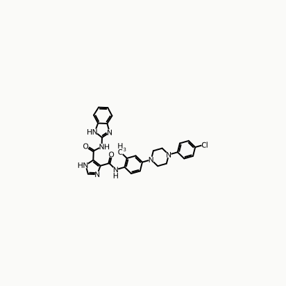 Cc1cc(N2CCN(c3ccc(Cl)cc3)CC2)ccc1NC(=O)c1nc[nH]c1C(=O)Nc1nc2ccccc2[nH]1